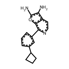 Nc1oc2c(-c3cccc(C4CCC4)c3)nccc2c1N